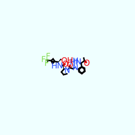 CC(=O)C(=N)c1ccccc1NCC(=O)N1CCC[C@H]1C(=O)N[C@H](CO)C12CC(C(F)(F)F)(C1)C2